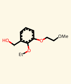 CCOc1c([CH]O)cccc1OCCOC